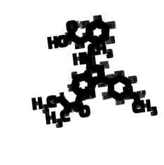 CCC(C)C(=O)c1ccc2c(n1)c(C1CCN(CC)CC1)cn2NC.O=C(O)Cc1ccccc1